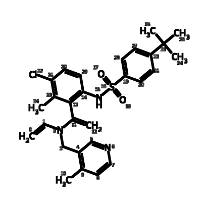 C=CN(Cc1cnccc1C)C(=C)c1c(NS(=O)(=O)c2ccc(C(C)(C)C)cc2)ccc(Cl)c1C